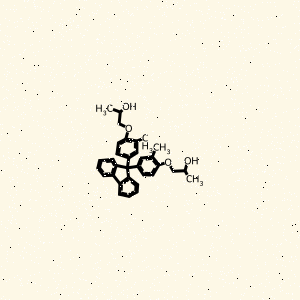 Cc1cc(C2(c3ccc(OCC(C)O)c(C)c3)c3ccccc3-c3ccccc32)ccc1OCC(C)O